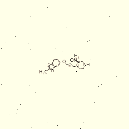 Cc1nc2cc(OC[C@H](O)CN3CCNC[C@@H]3C)ccc2s1